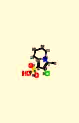 Cc1c(Cl)c(S(=O)(=O)O)c2n1CCCC2